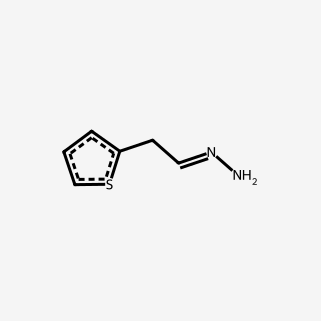 NN=CCc1cccs1